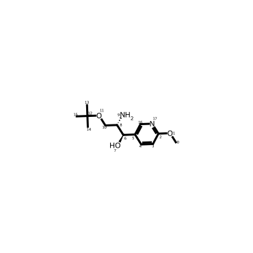 COc1ccc([C@@H](O)[C@@H](N)COC(C)(C)C)cn1